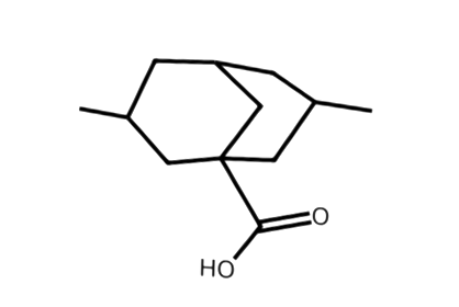 CC1CC2CC(C)CC(C(=O)O)(C1)C2